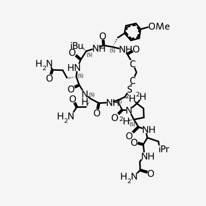 [2H]C1([2H])CC[C@@]([2H])(C(=O)NC(CC(C)C)C(=O)NCC(N)=O)N1C(=O)[C@@H]1CSCCCC(=O)N[C@@H](Cc2ccc(OC)cc2)C(=O)N[C@@H](C(C)CC)C(=O)N[C@@H](CCC(N)=O)C(=O)N[C@@H](CC(N)=O)C(=O)N1